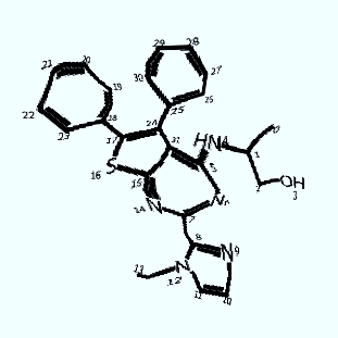 CC(CO)Nc1nc(-c2nccn2C)nc2sc(-c3ccccc3)c(-c3ccccc3)c12